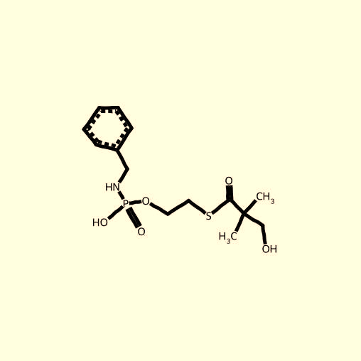 CC(C)(CO)C(=O)SCCOP(=O)(O)NCc1ccccc1